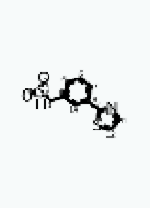 O=[SH](=O)Cc1cccc(-c2nccs2)c1